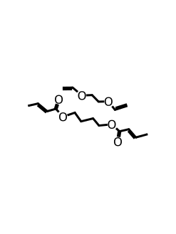 C/C=C/C(=O)OCCCCOC(=O)/C=C/C.C=COCCOC=C